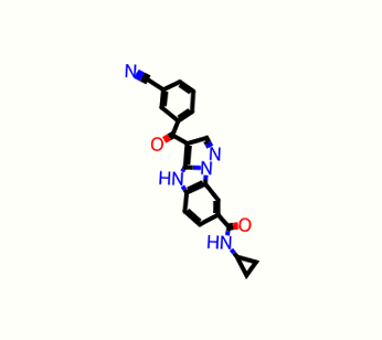 N#Cc1cccc(C(=O)c2cnn3c2[nH]c2ccc(C(=O)NC4CC4)cc23)c1